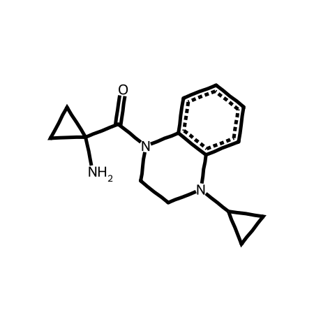 NC1(C(=O)N2CCN(C3CC3)c3ccccc32)CC1